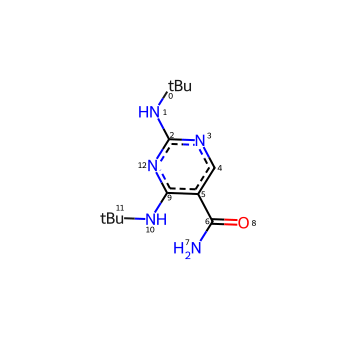 CC(C)(C)Nc1ncc(C(N)=O)c(NC(C)(C)C)n1